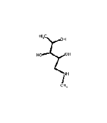 [CH2]C(O)C(O)C(O)CNC